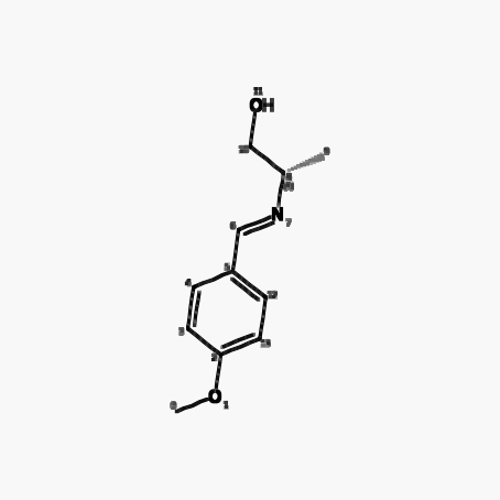 COc1ccc(C=N[C@@H](C)CO)cc1